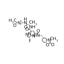 CC(=O)N1CC(NC(=O)[C@H](C)NC(=O)c2cc(C(=O)NCc3ccc4oc(=O)n(C)c4c3)nc3c(F)cnn23)C1